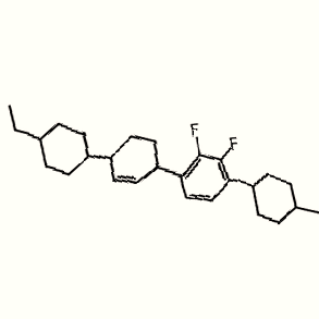 CCC1CCC(C2C=CC(c3ccc(C4CCC(C)CC4)c(F)c3F)CC2)CC1